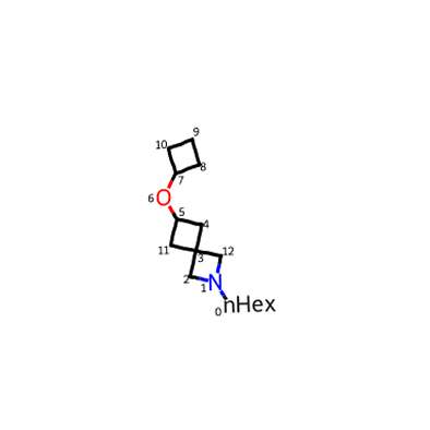 CCCCCCN1CC2(CC(OC3CCC3)C2)C1